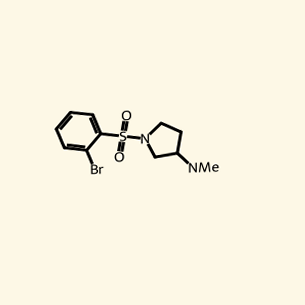 CNC1CCN(S(=O)(=O)c2ccccc2Br)C1